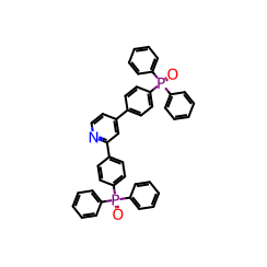 O=P(c1ccccc1)(c1ccccc1)c1ccc(-c2ccnc(-c3ccc(P(=O)(c4ccccc4)c4ccccc4)cc3)c2)cc1